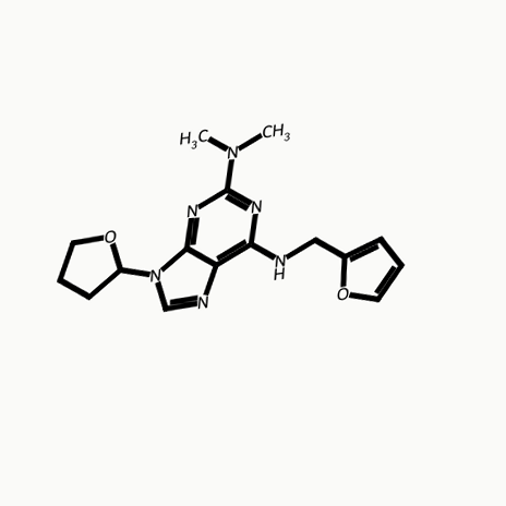 CN(C)c1nc(NCc2ccco2)c2ncn(C3CCCO3)c2n1